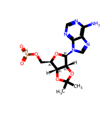 CC1(C)O[C@@H]2[C@H](O1)[C@@H](CO[SH](=O)=O)O[C@H]2n1cnc2c(N)ncnc21